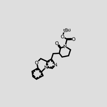 CC(C)(C)OC(=O)N1CCCC(Cc2ncn3c2COc2ccccc2-3)C1=O